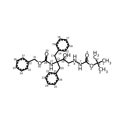 CC(C)(C)OC(=O)NNC[C@H](O)C(Cc1ccccc1)(Cc1ccccc1)NC(=O)OCc1ccccc1